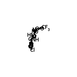 O=C(N[C@H]1CC[C@H](c2nnc(OCCOC(F)(F)F)o2)NC1)c1cc2ccc(Cl)cn2c1